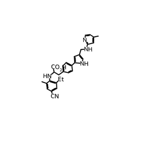 CCc1cc(C#N)cc(C)c1NC(Cc1ccc(-c2cc(CNc3cc(C)ccn3)c[nH]2)cc1)C(=O)O